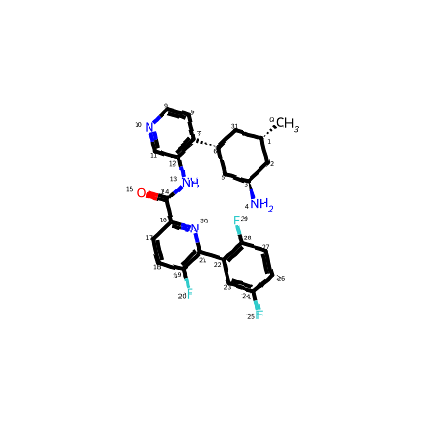 C[C@@H]1C[C@@H](N)C[C@H](c2ccncc2NC(=O)c2ccc(F)c(-c3cc(F)ccc3F)n2)C1